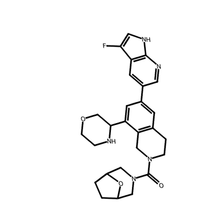 O=C(N1CCc2cc(-c3cnc4[nH]cc(F)c4c3)cc(C3COCCN3)c2C1)N1CC2CCC(C1)O2